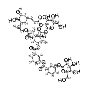 COc1cc(/C=C/C(=O)O[C@H]2[C@H](O[C@@H]3OC=C(C(=O)O)[C@H]4C[C@@H](OC(=O)c5cccc(OC(=O)c6cccc(O[C@@H]7O[C@H](CO)[C@@H](O)[C@H](O)[C@H]7O)c6)c5)[C@H](C)[C@@H]34)O[C@H](CO)[C@@H](O)[C@@H]2O)cc(OC)c1O